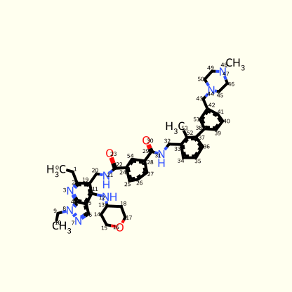 CCc1nc2c(cnn2CC)c(NC2CCOCC2)c1CNC(=O)c1cccc(C(=O)NCc2cccc(-c3cccc(CN4CCN(C)CC4)c3)c2C)c1